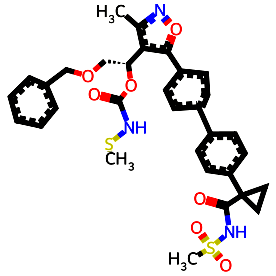 CSNC(=O)O[C@H](COCc1ccccc1)c1c(C)noc1-c1ccc(-c2ccc(C3(C(=O)NS(C)(=O)=O)CC3)cc2)cc1